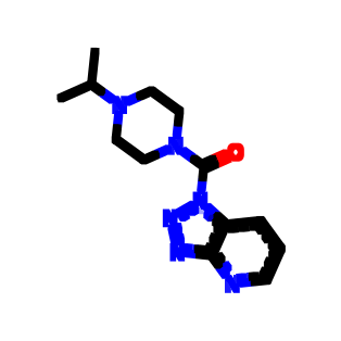 CC(C)N1CCN(C(=O)n2nnc3ncccc32)CC1